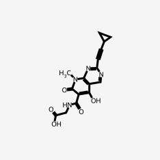 Cn1c(=O)c(C(=O)NCC(=O)O)c(O)c2cnc(C#CC3CC3)nc21